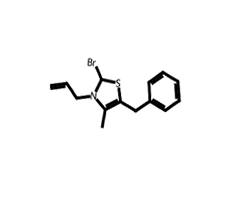 C=CCN1C(C)=C(Cc2ccccc2)SC1Br